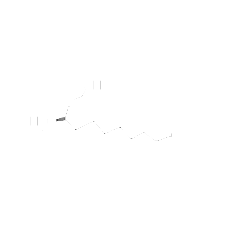 C=C(CCCCCCCC)OCC